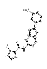 Cn1ncnc1C(=O)Nc1ccc2cc(-c3cccc(C(=O)O)c3)[nH]c2n1